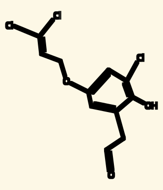 O=CCc1cc(OCC=C(Cl)Cl)cc(Cl)c1O